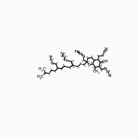 CC(C)CCCC(CCCC(CCCC1(CN=[N+]=[N-])CCC2C(CN=[N+]=[N-])C(O)C(CN=[N+]=[N-])C(C)C2O1)CN=[N+]=[N-])CN=[N+]=[N-]